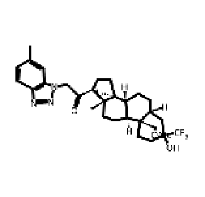 COC[C@]12CC[C@](O)(C(F)(F)F)C[C@H]1CC[C@H]1[C@@H]3CC[C@H](C(=O)Cn4nnc5ccc(C)cc54)[C@@]3(C)CC[C@@H]12